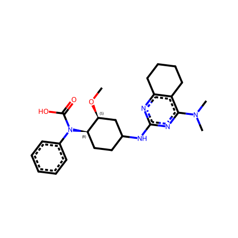 CO[C@H]1CC(Nc2nc3c(c(N(C)C)n2)CCCC3)CC[C@H]1N(C(=O)O)c1ccccc1